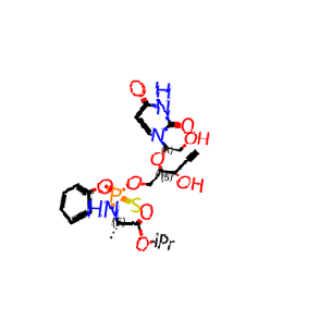 C#C[C@H](O)[C@@H](COP(=S)(N[C@@H](C)C(=O)OC(C)C)Oc1ccccc1)O[C@H](CO)n1ccc(=O)[nH]c1=O